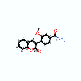 COc1cc(C(N)=O)ccc1-c1cc2ccccc2oc1=O